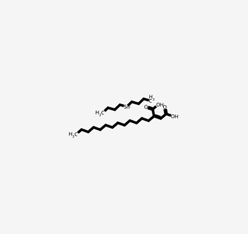 CCCCCCCCCCCCCC(=CC(=O)O)C(=O)O.CCC[CH2][Sn][CH2]CCC